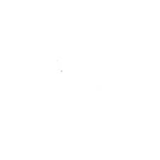 CC(C)COC=O.CCCOC(C)=O